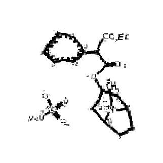 CCOC(=O)C(C(=O)OC1CC2CCC(C1)[N+]2(C)C)c1ccccc1.COS(=O)(=O)[O-]